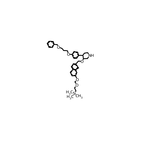 C[Si](C)(C)CCOCOc1ccc2ccc(COC3CNCCC3c3ccc(OCCCOCc4ccccc4)cc3)cc2c1